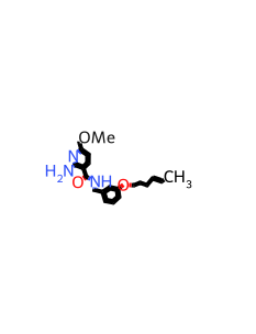 CC=CCCCOc1cccc(CNC(=O)c2ccc(COC)nc2N)c1